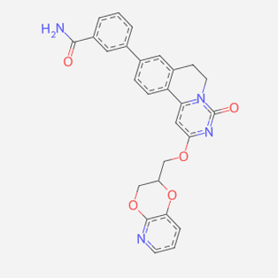 NC(=O)c1cccc(-c2ccc3c(c2)CCn2c-3cc(OCC3COc4ncccc4O3)nc2=O)c1